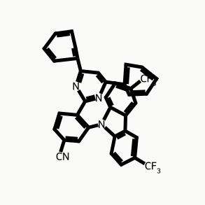 N#Cc1ccc(-c2nc(-c3ccccc3)cc(-c3ccccc3)n2)c(-n2c3ccc(C(F)(F)F)cc3c3cc(C(F)(F)F)ccc32)c1